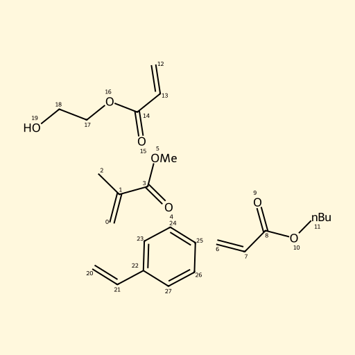 C=C(C)C(=O)OC.C=CC(=O)OCCCC.C=CC(=O)OCCO.C=Cc1ccccc1